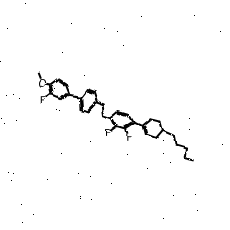 CCCCCC1CC=C(c2ccc(CCc3ccc(-c4ccc(OC)c(F)c4)cc3)c(F)c2F)CC1